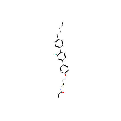 C=CC(=O)NCCOc1ccc(-c2ccc(-c3ccc(CCCCC)cc3)c(F)c2)cc1